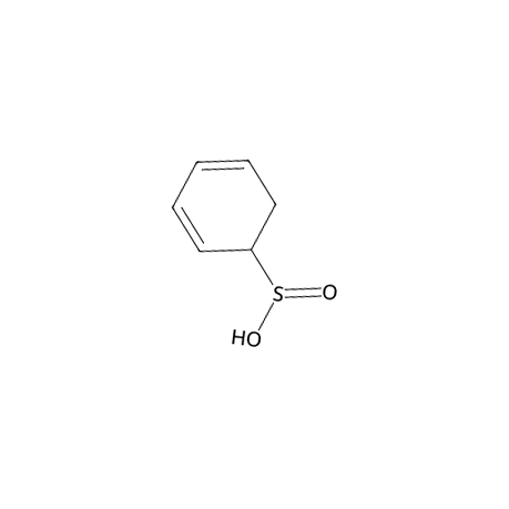 O=S(O)C1C=CC=CC1